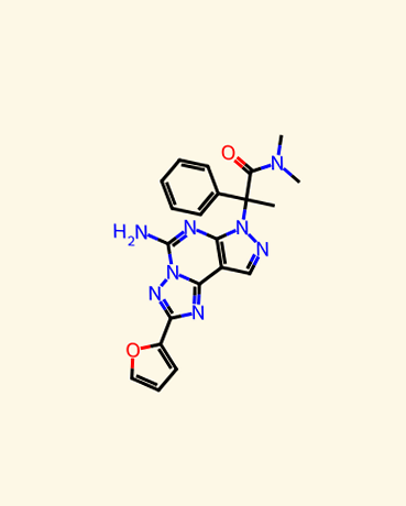 CN(C)C(=O)C(C)(c1ccccc1)n1ncc2c1nc(N)n1nc(-c3ccco3)nc21